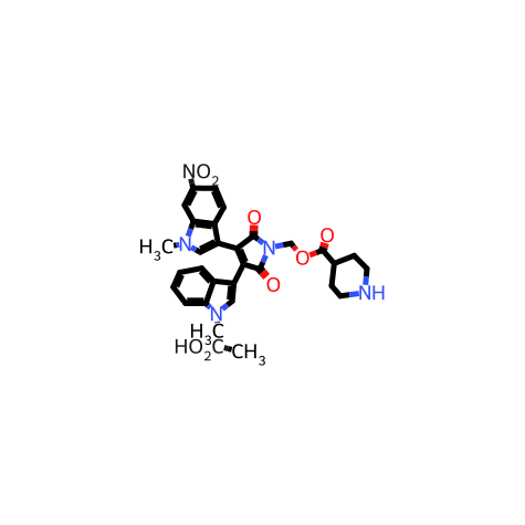 CC(=O)O.Cn1cc(C2=C(c3cn(C)c4cc([N+](=O)[O-])ccc34)C(=O)N(COC(=O)C3CCNCC3)C2=O)c2ccccc21